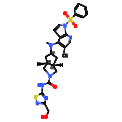 CN(c1c(C#N)cnc2c1ccn2S(=O)(=O)c1ccccc1)[C@H]1C[C@@H]2CN(C(=O)Nc3nc(CO)ns3)C[C@@H]2C1